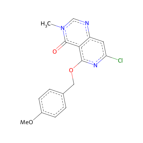 COc1ccc(COc2nc(Cl)cc3ncn(C)c(=O)c23)cc1